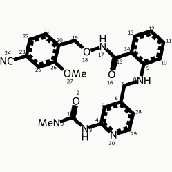 CNC(=O)Nc1cc(CNc2ccccc2C(=O)NOCc2ccc(C#N)cc2OC)ccn1